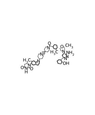 Cc1cc(C(=O)N2CCC(F)(CN3CCC(n4ccc5cc(N6CCC(=O)NC6=O)c(C)cc54)CC3)CC2)ccc1[C@H]1CN(c2cc(-c3ccccc3O)nnc2N)C[C@@H](C)O1